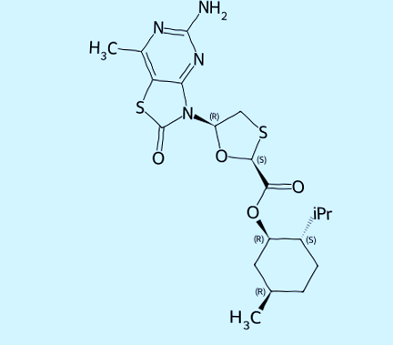 Cc1nc(N)nc2c1sc(=O)n2[C@H]1CS[C@@H](C(=O)O[C@@H]2C[C@H](C)CC[C@H]2C(C)C)O1